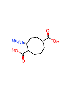 [N-]=[N+]=C1CCC(C(=O)O)CCCC1C(=O)O